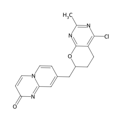 Cc1nc(Cl)c2c(n1)OC(Cc1ccn3ccc(=O)nc3c1)CC2